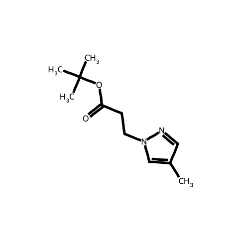 Cc1cnn(CCC(=O)OC(C)(C)C)c1